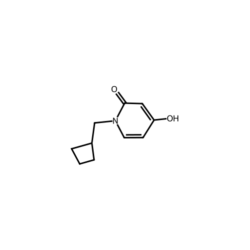 O=c1cc(O)ccn1CC1CCC1